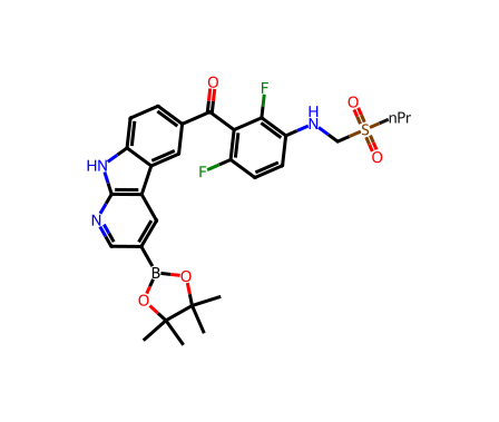 CCCS(=O)(=O)CNc1ccc(F)c(C(=O)c2ccc3[nH]c4ncc(B5OC(C)(C)C(C)(C)O5)cc4c3c2)c1F